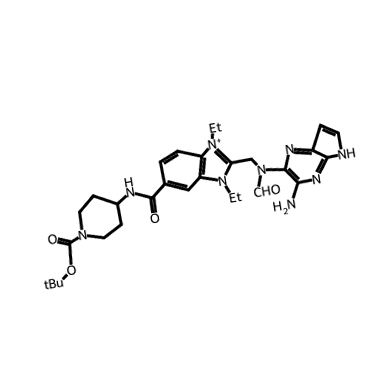 CCn1c(CN(C=O)c2nc3cc[nH]c3nc2N)[n+](CC)c2ccc(C(=O)NC3CCN(C(=O)OC(C)(C)C)CC3)cc21